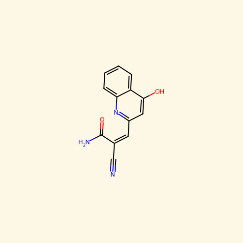 N#CC(=Cc1cc(O)c2ccccc2n1)C(N)=O